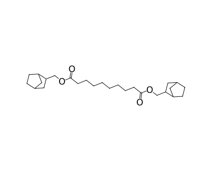 O=C(CCCCCCCCC(=O)OCC1CC2CCC1C2)OCC1CC2CCC1C2